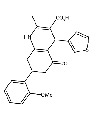 COc1ccccc1C1CC(=O)C2=C(C1)NC(C)=C(C(=O)O)C2c1ccsc1